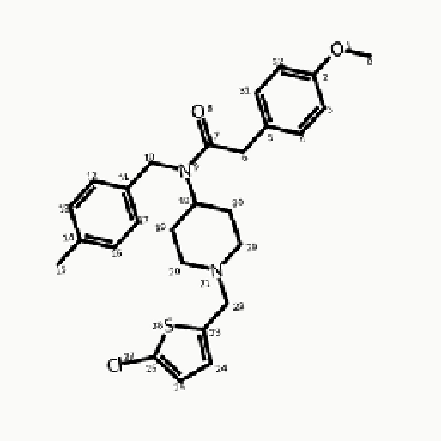 COc1ccc(CC(=O)N(Cc2ccc(C)cc2)C2CCN(Cc3ccc(Cl)s3)CC2)cc1